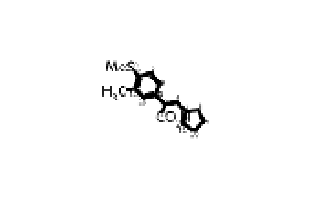 CSc1ccc(C(CC2CCCC2)C(=O)O)cc1C